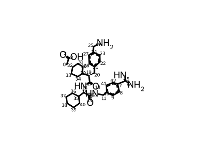 CC(=O)O.N=C(N)c1ccc(CNC(=O)[C@@H](NC(=O)[C@H](Cc2ccc(CN)cc2)C2CCCCC2)C2CCCCC2)cc1